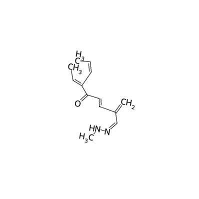 C=C(/C=N\NC)/C=C/C(=O)C(/C=C\C)=C/C